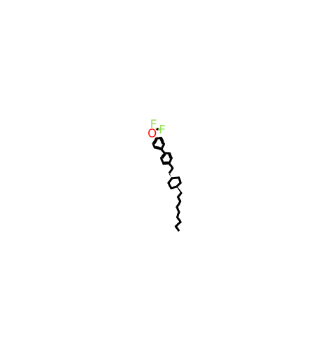 CCCCCCCCC[C@H]1CC[C@H](CCc2ccc(-c3ccc(OC(F)F)cc3)cc2)CC1